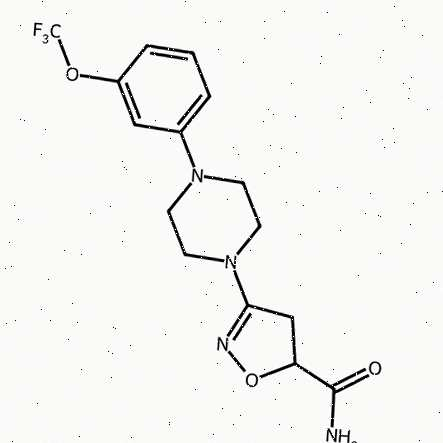 NC(=O)C1CC(N2CCN(c3cccc(OC(F)(F)F)c3)CC2)=NO1